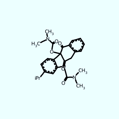 CC(C)c1ccc(C2(OC(=O)N(C)C)C(=O)Cc3ccccc3C2=O)c(OC(=O)N(C)C)c1